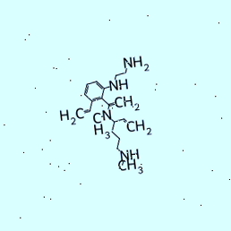 C=Cc1cccc(NCCN)c1C(=C)N(C)C(C=C)CCCNC